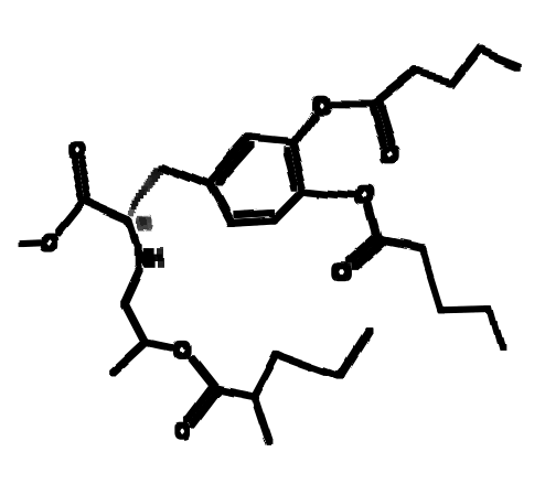 CCCCC(=O)Oc1ccc(C[C@H](NCC(C)OC(=O)C(C)CCC)C(=O)OC)cc1OC(=O)CCCC